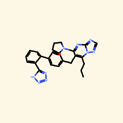 CCCc1c(Cc2ccc(-c3ccccc3-c3nnn[nH]3)cc2)c(N2CCCC2)nc2ncnn12